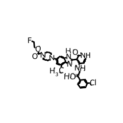 Cc1cc(N2CCN(C(=O)OCCF)CC2)cc2[nH]c(-c3c(NC[C@@H](O)c4cccc(Cl)c4)cc[nH]c3=O)nc12